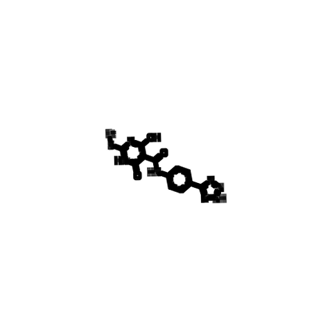 CCSc1nc(O)c(C(=O)Nc2ccc(-c3nn[nH]n3)cc2)c(=O)[nH]1